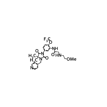 COCCNCC(=O)Nc1cc(N2C(=O)N(Cc3ccncc3)C(C)(C)C2=O)ccc1OC(F)(F)F